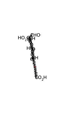 O=[C]CC[C@H](NC(=O)COCCOCCNC(=O)COCCOCCNC(=O)CCCCCCCCCCCCCCCCC(=O)O)C(=O)O